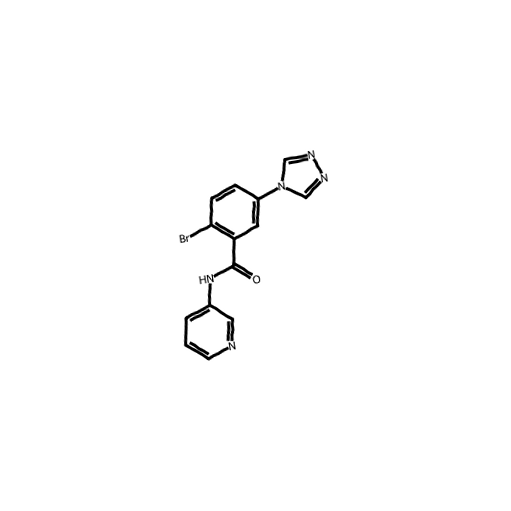 O=C(Nc1cccnc1)c1cc(-n2cnnc2)ccc1Br